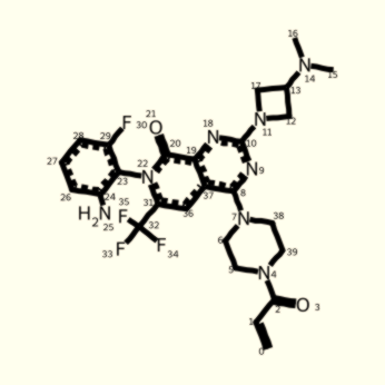 C=CC(=O)N1CCN(c2nc(N3CC(N(C)C)C3)nc3c(=O)n(-c4c(N)cccc4F)c(C(F)(F)F)cc23)CC1